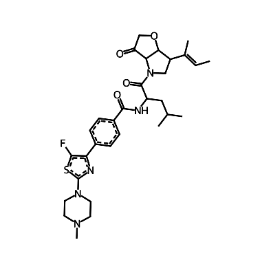 C/C=C(\C)C1CN(C(=O)C(CC(C)C)NC(=O)c2ccc(-c3nc(N4CCN(C)CC4)sc3F)cc2)C2C(=O)COC12